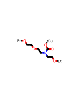 CCOCCOCCN(CCOCC)C(=O)OC(C)(C)C